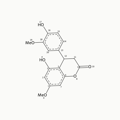 COc1cc(O)c2c(c1)OC(=O)CC2c1ccc(O)c(OC)c1